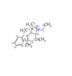 CCN1OC(C)(C)C2CC(C)(c3ccccc3)CC(C)C21